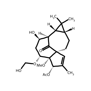 CO[C@]12[C@H](OCO)C[C@@H](O)[C@@H]3C(=O)[C@]1(C=C(C)[C@@H]2OC(C)=O)CC[C@@H]1[C@H]3C1(C)C